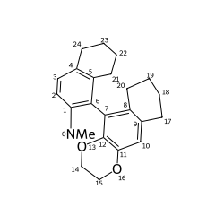 CNc1ccc2c(c1-c1c3c(cc4c1OCCO4)CCCC3)CCCC2